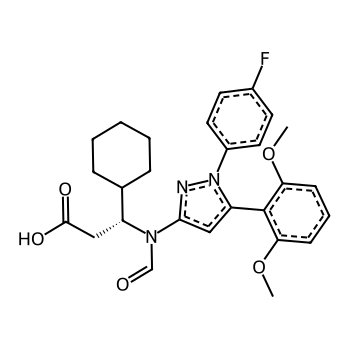 COc1cccc(OC)c1-c1cc(N(C=O)[C@H](CC(=O)O)C2CCCCC2)nn1-c1ccc(F)cc1